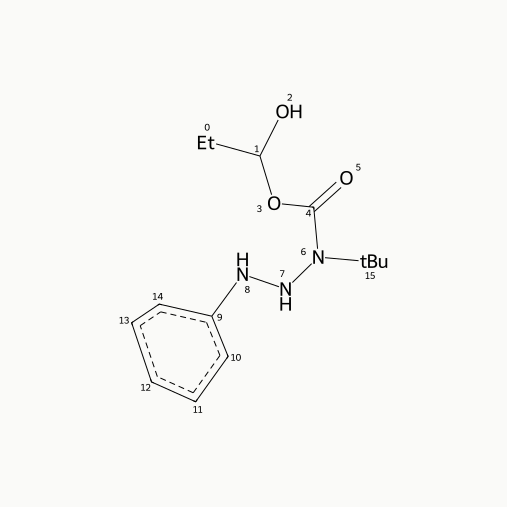 CCC(O)OC(=O)N(NNc1ccccc1)C(C)(C)C